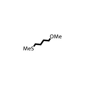 COCCCCSC